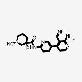 N#CN1CCC[C@](F)(C(=O)Nc2ccc(-c3ccnc(N)c3C=N)cn2)C1